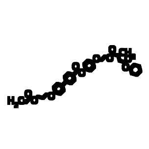 C=CC(=O)OCCCOc1ccc(-c2ccc(C(=O)Oc3ccc(OCCOC(=O)C(=C)CC(=O)OC4CCCCC4)cc3)cc2)cc1